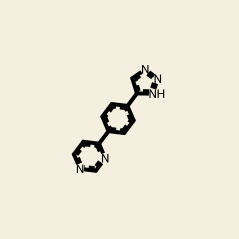 c1cc(-c2ccc(-c3cnn[nH]3)cc2)ncn1